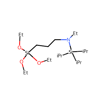 CCO[Si](CCCN(CC)[Si](C(C)C)(C(C)C)C(C)C)(OCC)OCC